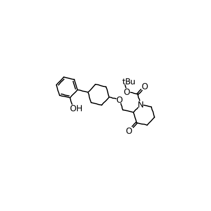 CC(C)(C)OC(=O)N1CCCC(=O)C1COC1CCC(c2ccccc2O)CC1